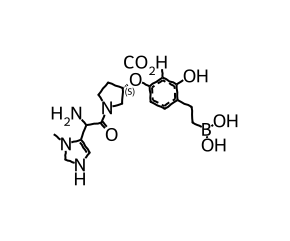 CN1CNC=C1C(N)C(=O)N1CC[C@H](Oc2ccc(CCB(O)O)c(O)c2C(=O)O)C1